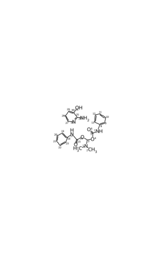 CN(C)C(OC(=O)Nc1ccccc1)OC(=O)Nc1ccccc1.Nc1ncccc1O